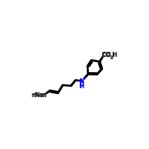 CCCCCCCCCC=CCCCNc1ccc(C(=O)O)cc1